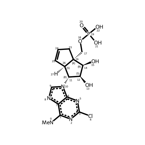 CNc1nc(Cl)nc2c1ncn2[C@H]1[C@H](O)[C@H](O)[C@]2(COP(=O)(O)O)CC=C[C@H]12